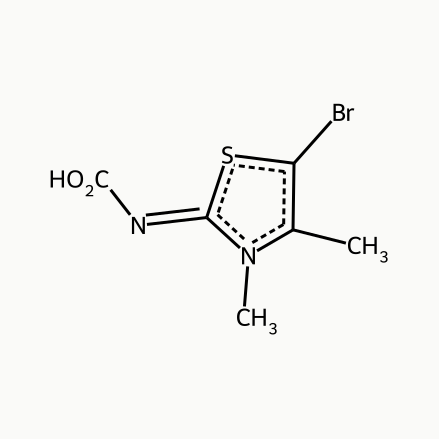 Cc1c(Br)sc(=NC(=O)O)n1C